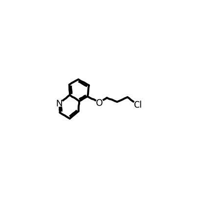 ClCCCOc1cccc2ncccc12